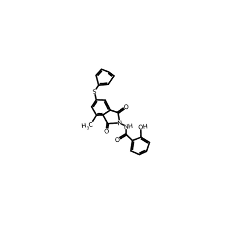 Cc1cc(Sc2ccccc2)cc2c1C(=O)N(NC(=O)c1ccccc1O)C2=O